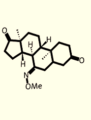 CO/N=C1\CC2CC(=O)CC[C@]2(C)[C@H]2CC[C@]3(C)C(=O)CC[C@H]3[C@H]12